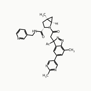 CC(=O)C1(CC(=O)N2[C@H](C(=O)NCc3cccnc3)C[C@@]3(C)C[C@@H]23)N=Nc2c(C)cc(-c3cnc(C)nc3)cc21